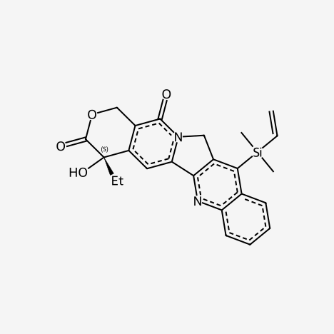 C=C[Si](C)(C)c1c2c(nc3ccccc13)-c1cc3c(c(=O)n1C2)COC(=O)[C@]3(O)CC